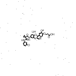 COc1cc2c(Oc3ccc(NC(=O)C4(C(=O)Nc5cccc(Cl)c5)CC4)cc3F)ccnc2cc1OCCC(=O)O.[LiH]